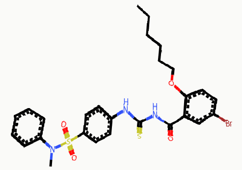 CCCCCCOc1ccc(Br)cc1C(=O)NC(=S)Nc1ccc(S(=O)(=O)N(C)c2ccccc2)cc1